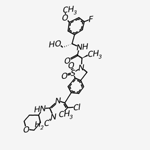 C=N/C(=N\C(=C(/C)Cl)c1ccc2c(c1)S(=O)(=O)N([C@H](C)C(=O)N[C@H](CO)c1cc(F)cc(OC)c1)C2)NC1CCOCC1